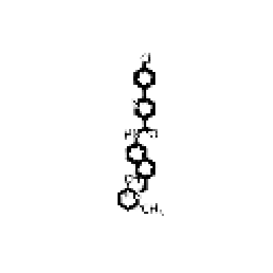 C[C@@H]1CCC[C@H](C)N1Cc1ccc2cc(NC(=O)c3ccc(-c4ccc(Cl)cc4)nc3)ccc2c1